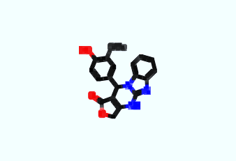 COc1cc(C2C3=C(COC3=O)Nc3nc4ccccc4n32)ccc1O